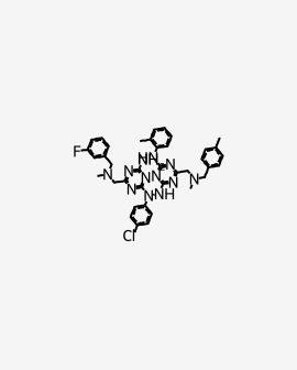 Cc1ccc(CN(C)Cc2nc(Nc3ccccc3C)nc(NN(c3ccc(Cl)cc3)c3nc(N)nc(CN(C)Cc4cccc(F)c4)n3)n2)cc1